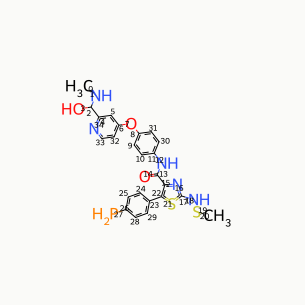 CNC(O)c1cc(Oc2ccc(NC(=O)c3nc(NSC)sc3-c3ccc(P)cc3)cc2)ccn1